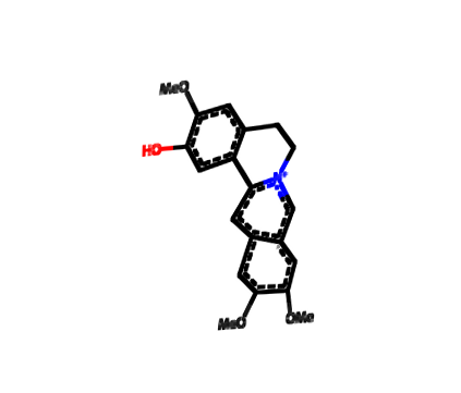 COc1cc2c(cc1O)-c1cc3cc(OC)c(OC)cc3c[n+]1CC2